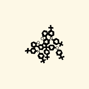 CC(C)(C)c1ccc(Oc2ccc(C3(c4ccc(C(C)(C)C)cc4)c4cc(N(c5ccc(C(C)(C)C)cc5)c5ccc(C(C)(C)C)cc5)c5c(oc6ccccc65)c4-c4c3cc(N(c3ccc(C(C)(C)C)cc3)c3ccc(C(C)(C)C)cc3)c3c4oc4ccccc43)cc2)cc1